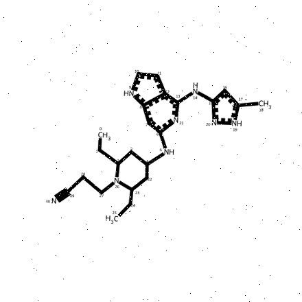 CCC1CC(Nc2cc3[nH]ccc3c(Nc3cc(C)[nH]n3)n2)CC(CC)N1CCC#N